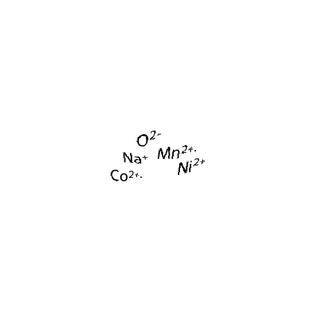 [Co+2].[Mn+2].[Na+].[Ni+2].[O-2]